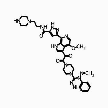 C=NN(/C(=N\N)N1CCN(C(=O)C(=O)c2c[nH]c3c(-c4cc(C(=O)NCCN5CCNCC5)[nH]n4)ncc(OC)c23)CC1)c1ccccc1